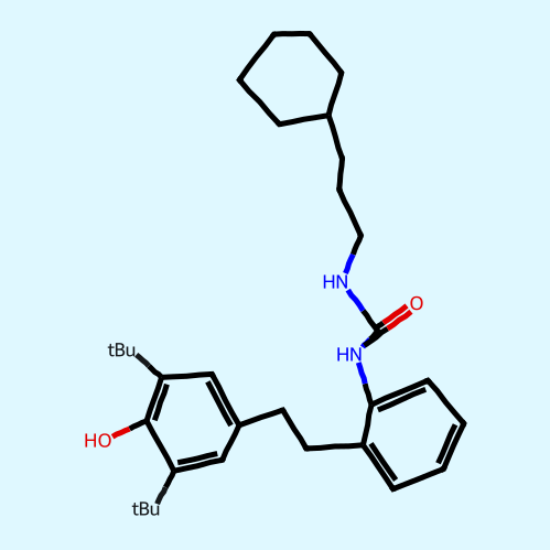 CC(C)(C)c1cc(CCc2ccccc2NC(=O)NCCCC2CCCCC2)cc(C(C)(C)C)c1O